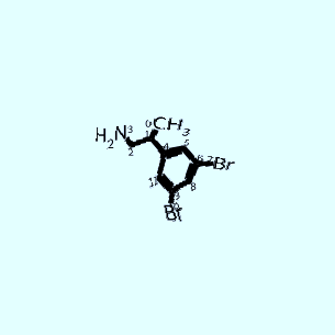 CC(CN)c1cc(Br)cc(Br)c1